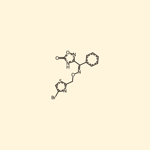 O=c1[nH]c(/C(=N\OCc2nc(Br)cs2)c2ccccc2)no1